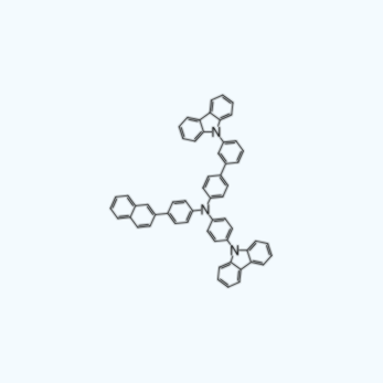 c1cc(-c2ccc(N(c3ccc(-c4ccc5ccccc5c4)cc3)c3ccc(-n4c5ccccc5c5ccccc54)cc3)cc2)cc(-n2c3ccccc3c3ccccc32)c1